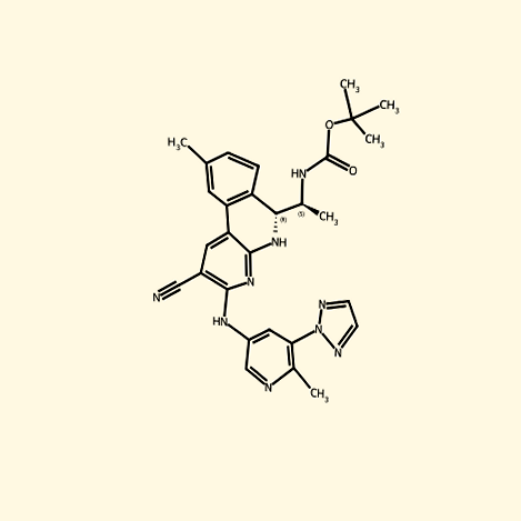 Cc1ccc2c(c1)-c1cc(C#N)c(Nc3cnc(C)c(-n4nccn4)c3)nc1N[C@H]2[C@H](C)NC(=O)OC(C)(C)C